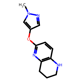 Cn1cc(Oc2ccc3c(n2)CCCN3)cn1